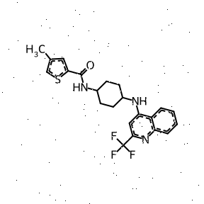 Cc1csc(C(=O)NC2CCC(Nc3cc(C(F)(F)F)nc4ccccc34)CC2)c1